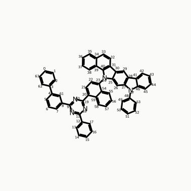 c1ccc(-c2cccc(-c3nc(-c4ccccc4)nc(-c4ccc(-n5c6cc7c(cc6c6ccc8ccccc8c65)c5ccccc5n7-c5ccccc5)c5ccccc45)n3)c2)cc1